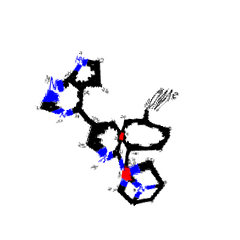 COc1ccc(CN2C3CC2CN(c2ccc(-c4ncnc5[nH]ccc45)cn2)C3)cc1